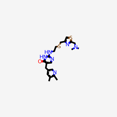 Cc1cc(Cc2cnc(NCCSCc3csc(CN(C)C)n3)[nH]c2=O)cnc1C